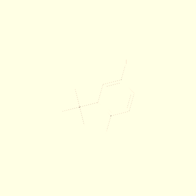 CC(C)(C)c1cc(I)ccc1F